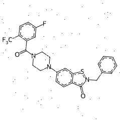 O=C(c1cc(F)ccc1C(F)(F)F)N1CCN(c2ccc3c(=O)n(Cc4ccccc4)sc3c2)CC1